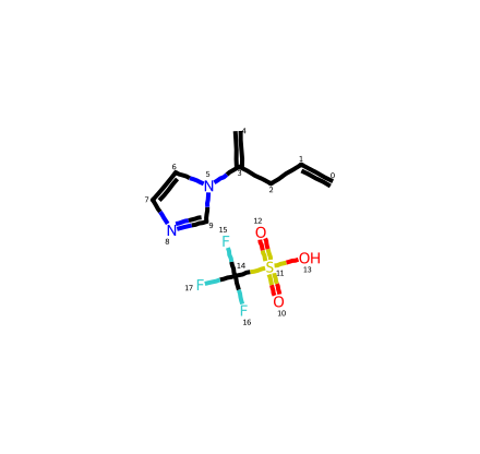 C=CCC(=C)n1ccnc1.O=S(=O)(O)C(F)(F)F